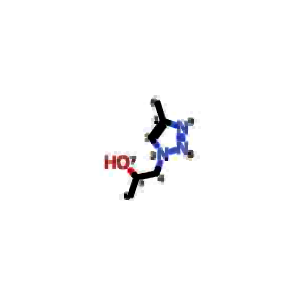 Cc1cn(CC(C)O)nn1